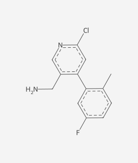 Cc1ccc(F)cc1-c1cc(Cl)ncc1CN